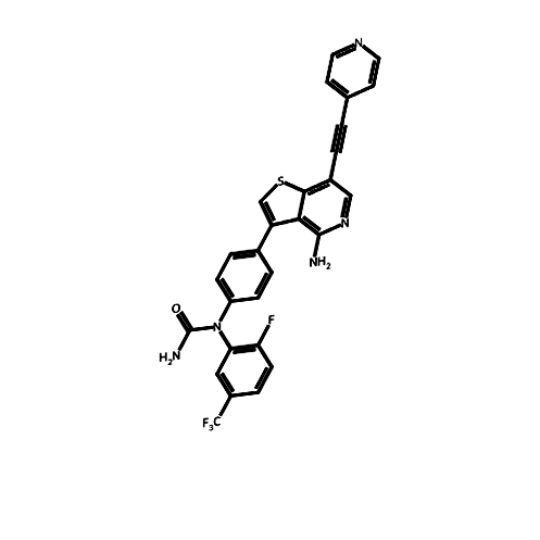 NC(=O)N(c1ccc(-c2csc3c(C#Cc4ccncc4)cnc(N)c23)cc1)c1cc(C(F)(F)F)ccc1F